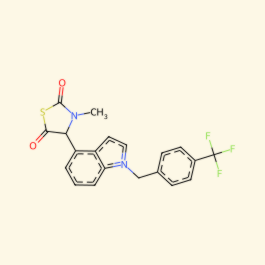 CN1C(=O)SC(=O)C1c1cccc2c1ccn2Cc1ccc(C(F)(F)F)cc1